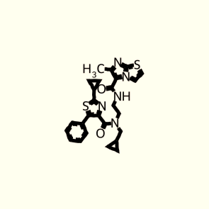 Cc1nc2sccn2c1C(=O)NCCN(CC1CC1)C(=O)c1nc(C2CC2)sc1-c1ccccc1